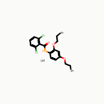 CC(C)CCOc1ccc(PC(=O)c2c(Cl)cccc2Cl)c(OCCC(C)C)c1.[LiH]